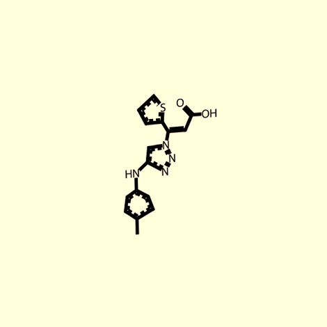 Cc1ccc(Nc2cn(C(=CC(=O)O)c3cccs3)nn2)cc1